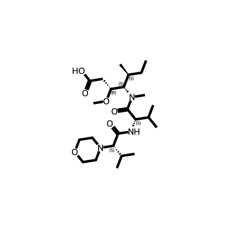 CC[C@H](C)[C@@H]([C@@H](CC(=O)O)OC)N(C)C(=O)[C@@H](NC(=O)[C@H](C(C)C)N1CCOCC1)C(C)C